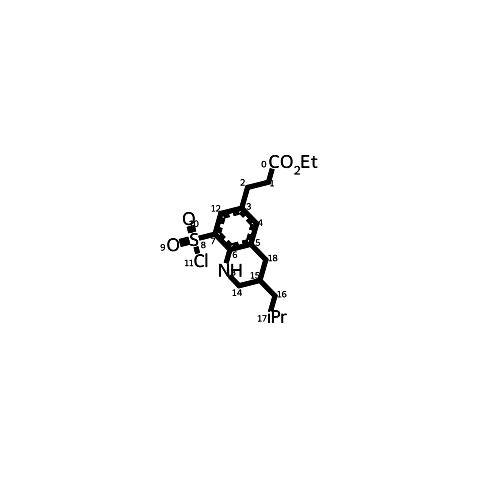 CCOC(=O)CCc1cc2c(c(S(=O)(=O)Cl)c1)NCC(CC(C)C)C2